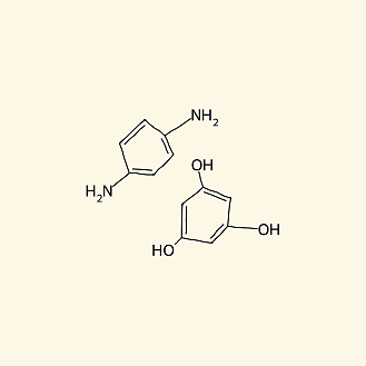 Nc1ccc(N)cc1.Oc1cc(O)cc(O)c1